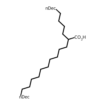 CCCCCCCCCCCCCCCCCCCCC(CCCCCCCCCCCCCC)C(=O)O